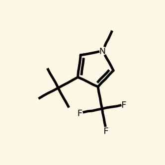 Cn1cc(C(C)(C)C)c(C(F)(F)F)c1